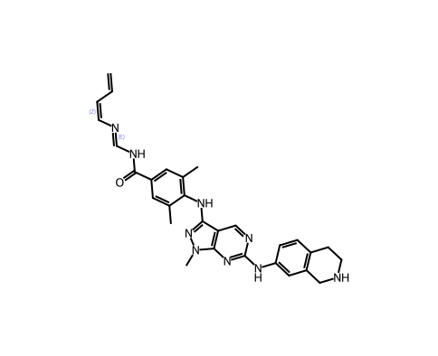 C=C/C=C\N=C\NC(=O)c1cc(C)c(Nc2nn(C)c3nc(Nc4ccc5c(c4)CNCC5)ncc23)c(C)c1